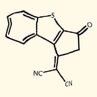 N#CC(C#N)=C1CC(=O)c2sc3ccccc3c21